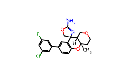 C[C@]12CCOC[C@H]1[C@]1(COC(N)=N1)c1cc(-c3cc(F)cc(Cl)c3)ccc1O2